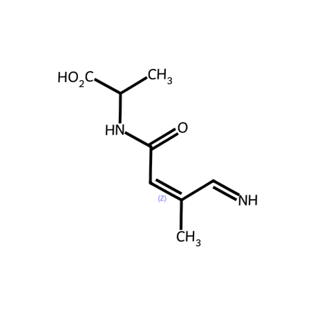 C/C(C=N)=C/C(=O)NC(C)C(=O)O